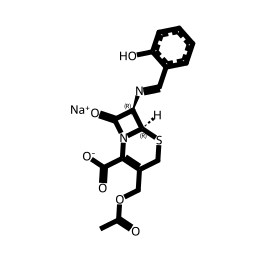 CC(=O)OCC1=C(C(=O)[O-])N2C(=O)[C@@H](N=Cc3ccccc3O)[C@H]2SC1.[Na+]